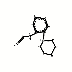 S=CNc1ccccc1N1CCCCC1